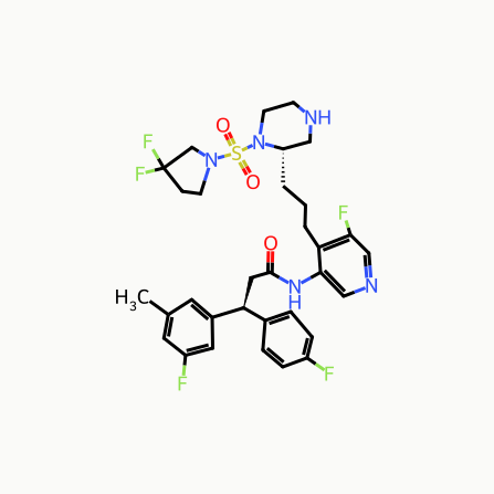 Cc1cc(F)cc([C@@H](CC(=O)Nc2cncc(F)c2CCC[C@H]2CNCCN2S(=O)(=O)N2CCC(F)(F)C2)c2ccc(F)cc2)c1